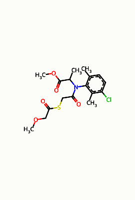 COCC(=O)SCC(=O)N(c1c(C)ccc(Cl)c1C)C(C)C(=O)OC